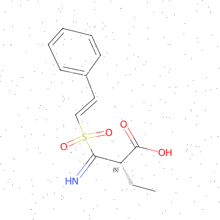 CC[C@H](C(=N)S(=O)(=O)C=Cc1ccccc1)C(=O)O